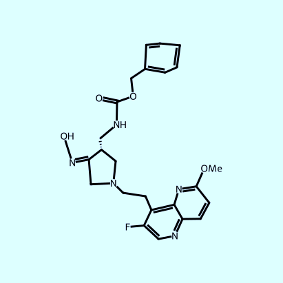 COc1ccc2ncc(F)c(CCN3CC(=NO)[C@H](CNC(=O)OCc4ccccc4)C3)c2n1